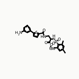 Cc1cc(C)c(S(=O)(=O)NC(CNC(=O)c2ccc(-c3cccc(N)c3)s2)C(=O)OC(C)(C)C)c(C)c1